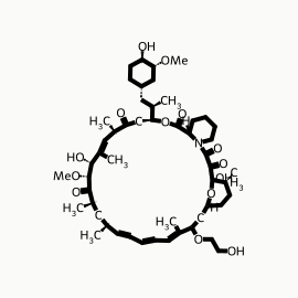 CO[C@@H]1C[C@H](C[C@@H](C)[C@@H]2CC(=O)[C@H](C)/C=C(\C)[C@@H](O)[C@@H](OC)C(=O)[C@H](C)C[C@H](C)/C=C/C=C/C=C(\C)C(OCCO)C[C@@H]3CC[C@@H](C)[C@@](O)(O3)C(=O)C(=O)N3CCCC[C@H]3C(=O)O2)CC[C@H]1O